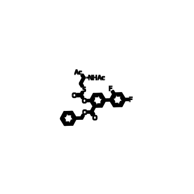 CC(=O)N[C@H](CSC(=O)Oc1ccc(-c2ccc(F)cc2F)cc1C(=O)OCc1ccccc1)C(C)=O